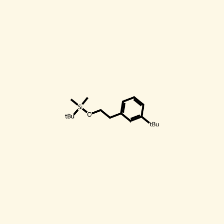 CC(C)(C)c1[c]c(CCO[Si](C)(C)C(C)(C)C)ccc1